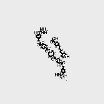 N=C(N)Nc1ccc(CNC(=O)N2CCN(C(=O)O[C@H]3CCC[C@@H](OC(=O)N4CCN(C(=O)NCc5ccc(NC(=N)N)cc5)CC4)CCC3)CC2)cc1.O=C(O)N1CCC(CCCCC2CCNCC2)CC1